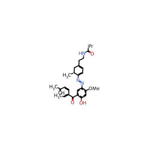 C=C(C)/C=C\C(=C/C)C(=O)c1cc(/N=N/C2=CC=C(CCNC(=O)C(C)C)C[C@@H]2C)c(OC)cc1O